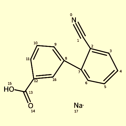 N#Cc1ccccc1-c1cccc(C(=O)O)c1.[Na]